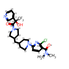 CN(C)C(=O)c1ccc(N2CCC(CC3CCN(C(=O)C(O)(c4cccnc4)C(F)(F)F)CC3)CC2)nc1Cl